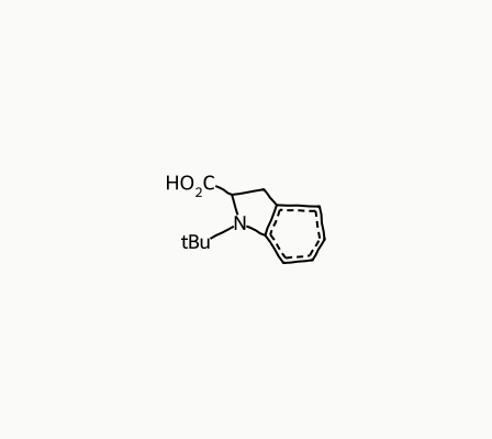 CC(C)(C)N1c2ccccc2CC1C(=O)O